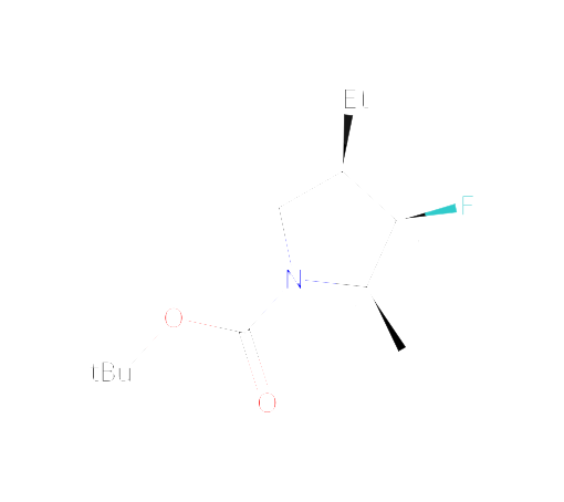 CC[C@@H]1CN(C(=O)OC(C)(C)C)[C@H](C)[C@@H]1F